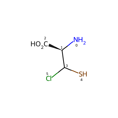 N[C@H](C(=O)O)C(S)Cl